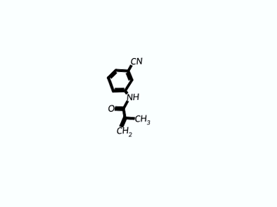 C=C(C)C(=O)Nc1cccc(C#N)c1